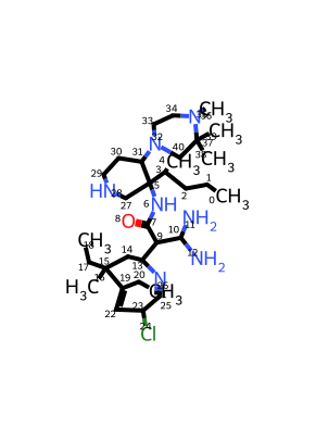 CCCC(C)C1(NC(=O)C(C(N)N)C2CC(C)(CC)/C(CC)=C/C(Cl)/C=N\2)CNCCC1N1CCN(C)C(C)(C)C1